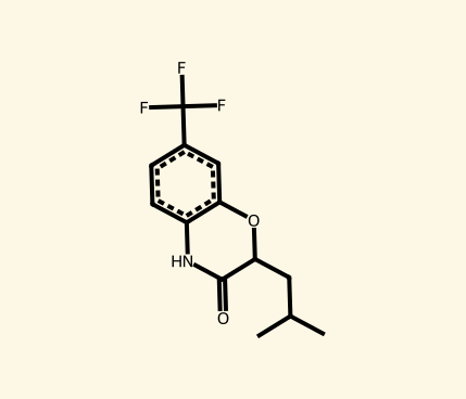 CC(C)CC1Oc2cc(C(F)(F)F)ccc2NC1=O